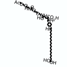 CC(=O)COCCOCCNC(=O)COCCOCCNC(O)CCC(NC[C@H]1CC[C@@H](CNCCCCCCCCCCCCCCCCCCCC(O)O)CC1)C(=O)O